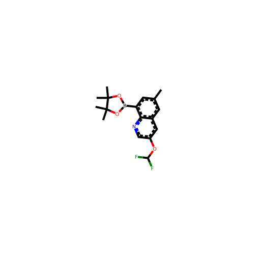 Cc1cc(B2OC(C)(C)C(C)(C)O2)c2ncc(OC(F)F)cc2c1